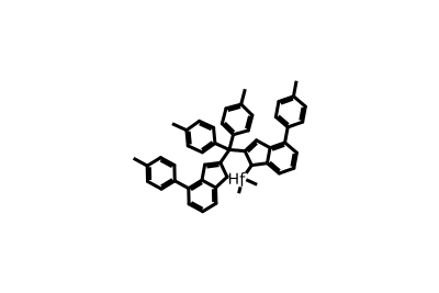 Cc1ccc(-c2cccc3c2C=C2[CH]3[Hf]([CH3])([CH3])[CH]3C(=Cc4c(-c5ccc(C)cc5)cccc43)C2(c2ccc(C)cc2)c2ccc(C)cc2)cc1